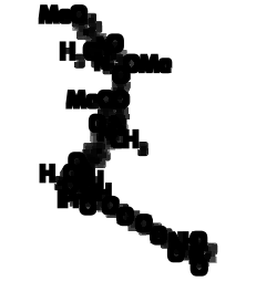 COc1ccc(C2=CN3C(=O)c4cc(OC)c(OCCCOc5cc6c(cc5OC)C(=O)N5C=C(c7ccc(NC(=O)[C@H](C)NC(=O)C(NC(=O)CCOCCOCCOCCOCCNC(=O)CCN8C(=O)CCC8=O)C(C)C)cc7)C[C@]5(C)C=N6)cc4N=C[C@@]3(C)C2)cc1